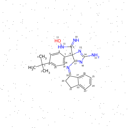 CC(C)(C)c1ccc(C2(C(=N)NO)N=C(N)N=C2N=C2CCc3ccccc32)cc1